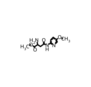 COC(=O)C(N)CC(=O)Nc1ccc(OC)cn1